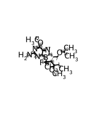 CCC(OC)[C@@H](CCOC(C)C)[C@@](C)(F)B1CN=C2C(OC)=NC(N)=NC12